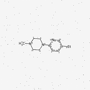 CCc1ccc(N2CCN(C)CC2)nc1